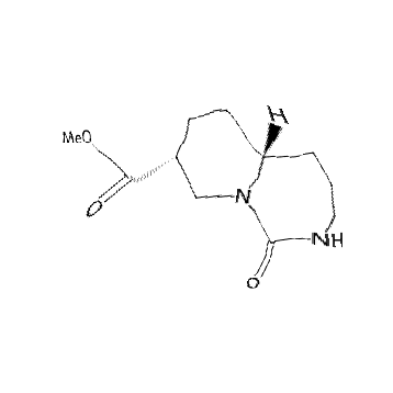 COC(=O)[C@@H]1CC[C@@H]2CCNC(=O)N2C1